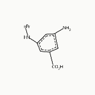 CCCNc1cc(N)cc(C(=O)O)c1